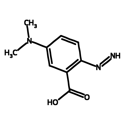 CN(C)c1ccc(N=N)c(C(=O)O)c1